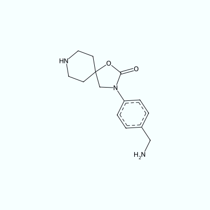 NCc1ccc(N2CC3(CCNCC3)OC2=O)cc1